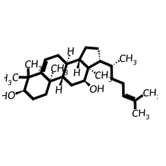 CC(C)=CCC[C@@H](C)[C@H]1CC[C@H]2[C@@H]3CC=C4C(C)(C)[C@H](O)CC[C@]4(C)[C@H]3C[C@H](O)[C@]12C